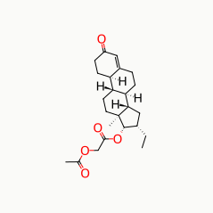 CC[C@H]1C[C@H]2[C@@H]3CCC4=CC(=O)CC[C@@H]4[C@H]3CC[C@]2(C)[C@H]1OC(=O)COC(C)=O